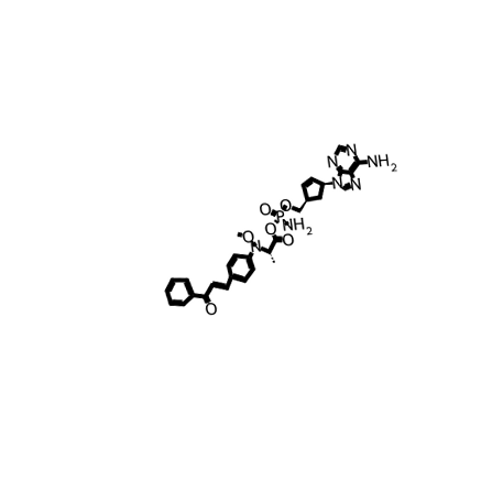 CON(c1ccc(C=CC(=O)c2ccccc2)cc1)[C@@H](C)C(=O)OP(N)(=O)OC[C@H]1C=C[C@@H](n2cnc3c(N)ncnc32)C1